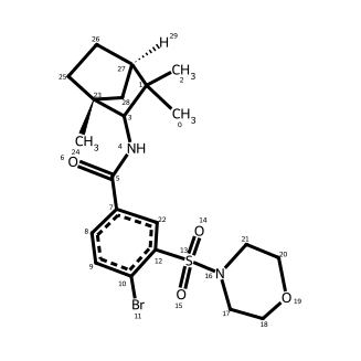 CC1(C)C(NC(=O)c2ccc(Br)c(S(=O)(=O)N3CCOCC3)c2)[C@]2(C)CC[C@@H]1C2